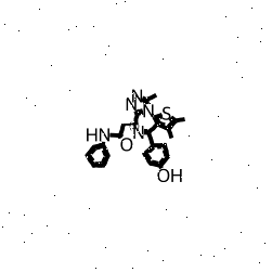 Cc1sc2c(c1C)C(c1ccc(O)cc1)=N[C@@H](CC(=O)Nc1ccccc1)c1nnc(C)n1-2